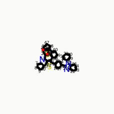 c1ccc(-c2nc3ccccc3c3sc(-c4ccc(-c5nc6ccccc6n5-c5ccccc5)cc4)c(-c4cccc5c4sc4ccccc45)c23)cc1